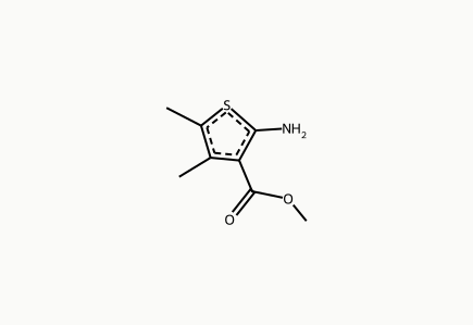 COC(=O)c1c(N)sc(C)c1C